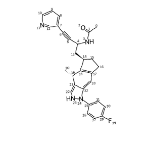 CC(=O)NC(C#Cc1cccnc1)C[C@H]1CCC2=C1[C@@H](C)C1=CNN(c3ccc(F)cc3)C1=C2